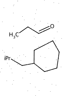 CC(C)CC1CCCCC1.CCC=O